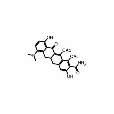 CC(=O)OC1=C2C(=O)c3c(O)ccc(N(C)C)c3CC2Cc2cc(O)c(C(N)=O)c(OC(C)=O)c21